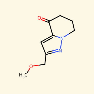 COCc1cc2n(n1)CCCC2=O